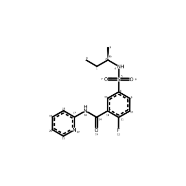 CC[C@@H](C)NS(=O)(=O)c1ccc(F)c(C(=O)Nc2ccccn2)c1